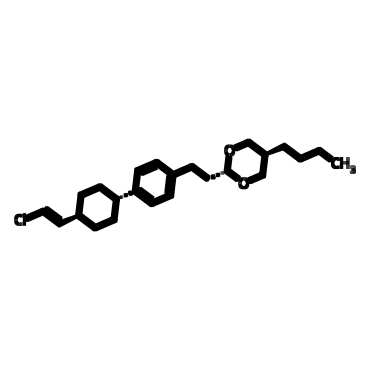 CCCC[C@H]1CO[C@H](CCc2ccc([C@H]3CC[C@H](/C=C/Cl)CC3)cc2)OC1